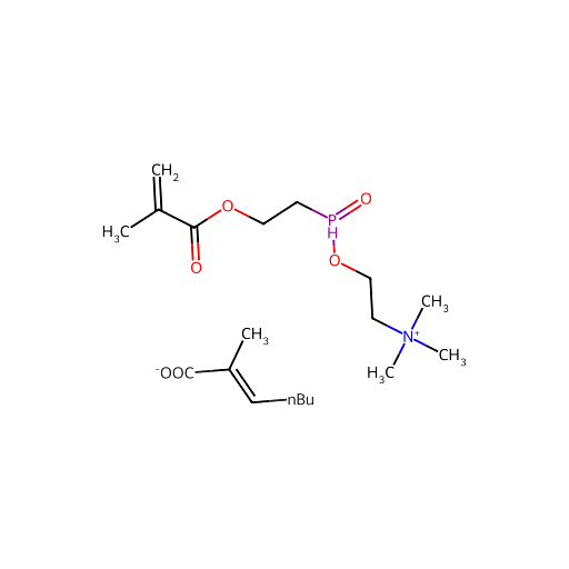 C=C(C)C(=O)OCC[PH](=O)OCC[N+](C)(C)C.CCCCC=C(C)C(=O)[O-]